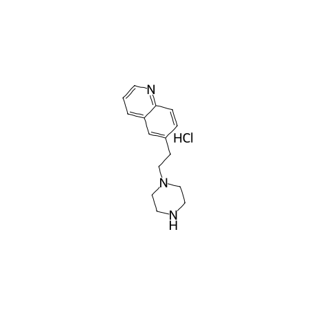 Cl.c1cnc2ccc(CCN3CCNCC3)cc2c1